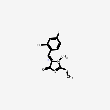 CSC1=NC(=O)/C(=C/c2ccc(F)cc2O)N1C